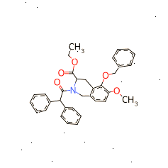 CCOC(=O)C1Cc2c(ccc(OC)c2OCc2ccccc2)CN1C(=O)C(c1ccccc1)c1ccccc1